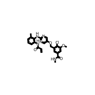 C=CC(=O)Nc1cccc(C)c1Nc1ncc(OCc2cc(C(=O)NC)cc(OC)c2Cl)cn1